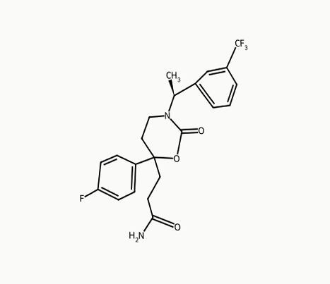 C[C@@H](c1cccc(C(F)(F)F)c1)N1CCC(CCC(N)=O)(c2ccc(F)cc2)OC1=O